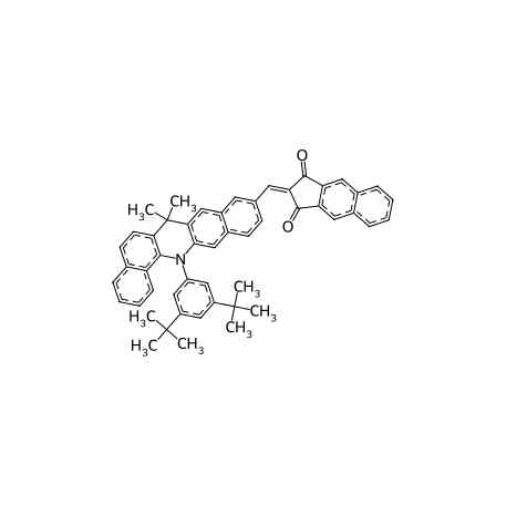 CC(C)(C)c1cc(N2c3cc4ccc(C=C5C(=O)c6cc7ccccc7cc6C5=O)cc4cc3C(C)(C)c3ccc4ccccc4c32)cc(C(C)(C)C)c1